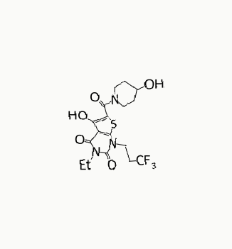 CCn1c(=O)c2c(O)c(C(=O)N3CCC(O)CC3)sc2n(CCC(F)(F)F)c1=O